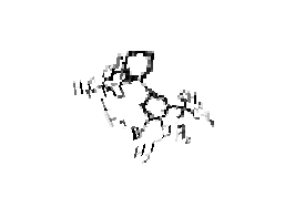 COc1c(Br)cc(-c2cccnc2OC(C)(C)C)cc1C(C)(C)C